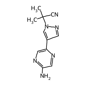 CC(C)(C#N)n1cc(-c2cnc(N)cn2)cn1